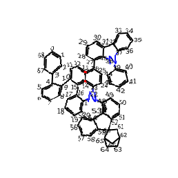 c1ccc(-c2ccccc2-c2ccccc2-c2ccccc2N(c2ccc(-c3cccc4c5ccccc5n(-c5ccccc5)c34)cc2)c2cccc3c2-c2ccccc2C32CC3CCC2C3)cc1